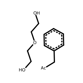 CC(=O)Cc1ccccc1.OCCOCCO